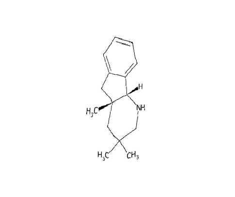 CC1(C)CN[C@H]2c3ccccc3C[C@@]2(C)C1